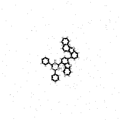 c1ccc(C2=NC(c3ccccc3)NC(c3ccc(-c4cccc5oc6c7ccccc7ccc6c45)c4oc5ccncc5c34)N2)cc1